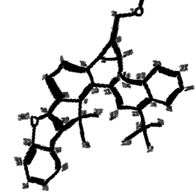 COCC1C2c3ccc4c(c3-c3cc(C(C)(C)C)c5ccccc5[n+]3C12)C(C)(C)c1c-4oc2ccccc12